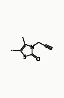 C#CCn1c(C)c([CH2])sc1=O